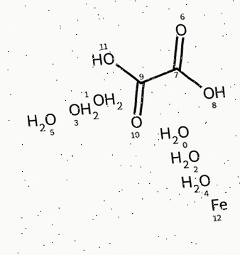 O.O.O.O.O.O.O=C(O)C(=O)O.[Fe]